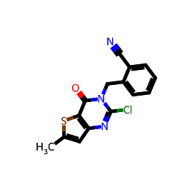 Cc1cc2nc(Cl)n(Cc3ccccc3C#N)c(=O)c2s1